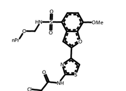 CCCOCNS(=O)(=O)c1ccc(OC)c2oc(-c3csc(NC(=O)CCl)n3)cc12